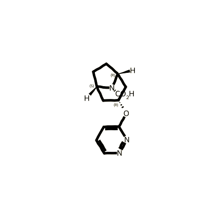 O=C(O)N1[C@@H]2CC[C@H]1C[C@@H](Oc1cccnn1)C2